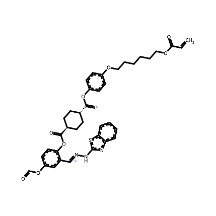 C=CC(=O)OCCCCCCOc1ccc(OC(=O)[C@H]2CC[C@H](C(=O)Oc3ccc(OC=O)cc3/C=N/Nc3nc4ccccc4s3)CC2)cc1